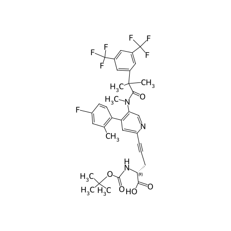 Cc1cc(F)ccc1-c1cc(C#CC[C@@H](NC(=O)OC(C)(C)C)C(=O)O)ncc1N(C)C(=O)C(C)(C)c1cc(C(F)(F)F)cc(C(F)(F)F)c1